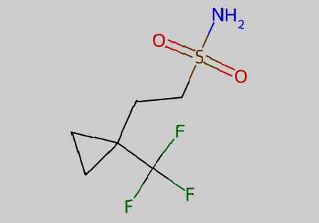 NS(=O)(=O)CCC1(C(F)(F)F)CC1